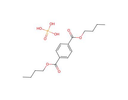 CCCCOC(=O)c1ccc(C(=O)OCCCC)cc1.O=P(O)(O)O